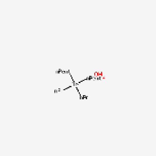 CCCCC[Te](CCC)(CCC)CCCCC.O